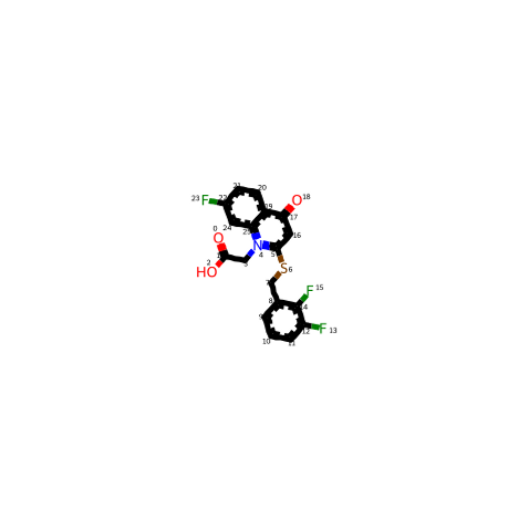 O=C(O)Cn1c(SCc2cccc(F)c2F)cc(=O)c2ccc(F)cc21